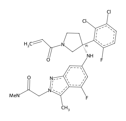 C=CC(=O)N1CC[C@@](Nc2cc(F)c3c(C)n(CC(=O)NC)nc3c2)(c2c(F)ccc(Cl)c2Cl)C1